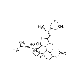 C=C/C(=C\C(F)=C(/F)[C@H]1C[C@@]2(C)[C@@H](CC[C@@]2(O)C#CC(C)C)[C@@H]2CCC3=CC(=O)CCC3=C21)N(CC)CC